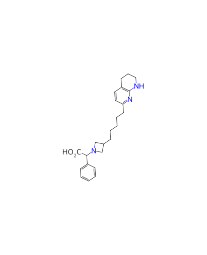 O=C(O)C(c1ccccc1)N1CC(CCCCCc2ccc3c(n2)NCCC3)C1